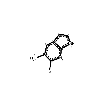 Cc1cc2cc[nH]c2nc1F